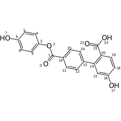 O=C(Oc1ccc(O)cc1)c1ccc(-c2cc(O)ccc2C(=O)O)cc1